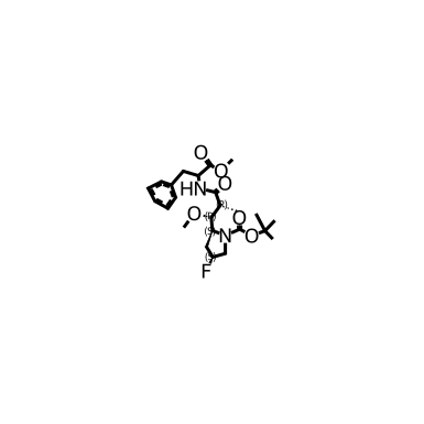 COC(=O)C(Cc1ccccc1)NC(=O)[C@H](C)[C@@H](OC)[C@@H]1C[C@H](F)CN1C(=O)OC(C)(C)C